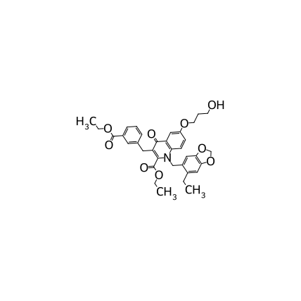 CCOC(=O)c1cccc(Cc2c(C(=O)OCC)n(Cc3cc4c(cc3CC)OCO4)c3ccc(OCCCO)cc3c2=O)c1